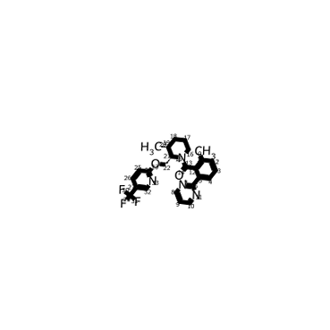 Cc1cccc(-c2ncccn2)c1C(=O)N1CCC[C@@H](C)[C@H]1COc1ccc(C(F)(F)F)cn1